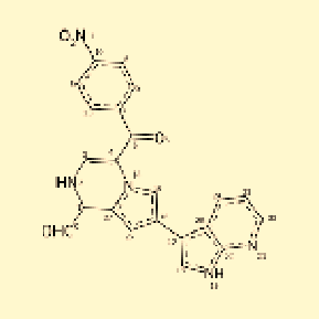 O=CC1NC=C(C(=O)c2ccc([N+](=O)[O-])cc2)n2cc(-c3c[nH]c4ncccc34)cc21